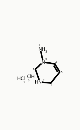 Cl.Cl.NN1C=CCNC1